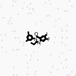 CCc1nc2cc(F)c(I)cc2c(=O)n1-c1cc(C)cc(C)c1